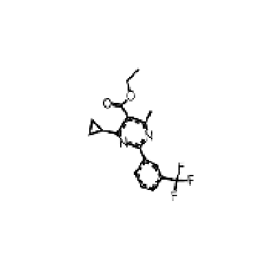 CCOC(=O)c1c(C)nc(-c2cccc(C(F)(F)F)c2)nc1C1CC1